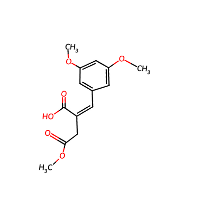 COC(=O)CC(=Cc1cc(OC)cc(OC)c1)C(=O)O